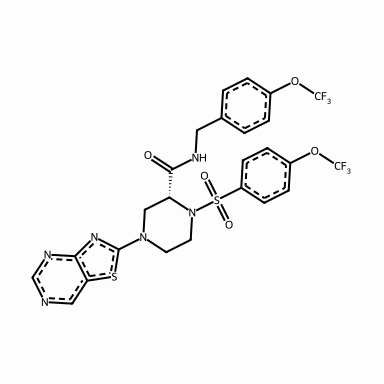 O=C(NCc1ccc(OC(F)(F)F)cc1)[C@H]1CN(c2nc3ncncc3s2)CCN1S(=O)(=O)c1ccc(OC(F)(F)F)cc1